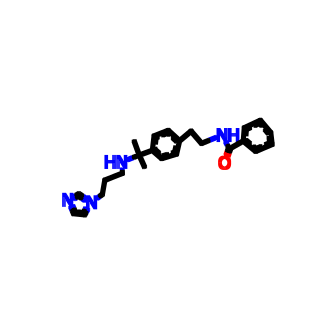 CC(C)(NCCCn1ccnc1)c1ccc(CCNC(=O)c2ccccc2)cc1